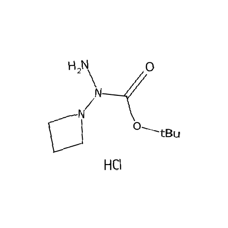 CC(C)(C)OC(=O)N(N)N1CCC1.Cl